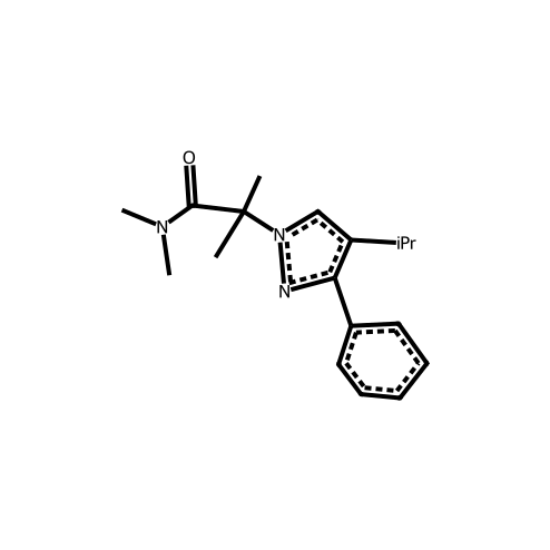 CC(C)c1cn(C(C)(C)C(=O)N(C)C)nc1-c1ccccc1